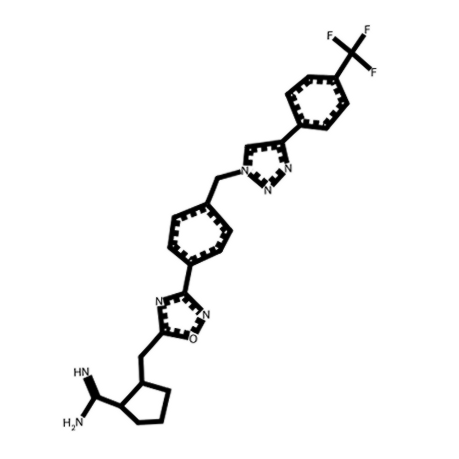 N=C(N)C1CCCC1Cc1nc(-c2ccc(Cn3cc(-c4ccc(C(F)(F)F)cc4)nn3)cc2)no1